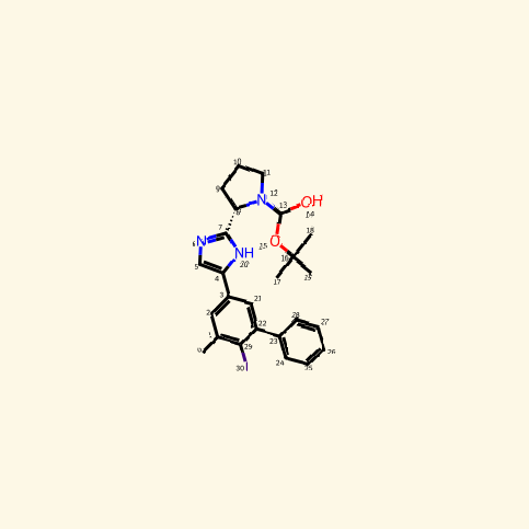 Cc1cc(-c2cnc([C@@H]3CCCN3C(O)OC(C)(C)C)[nH]2)cc(-c2ccccc2)c1I